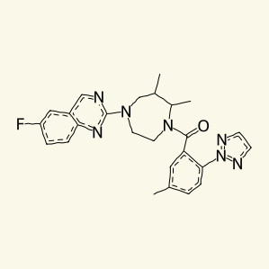 Cc1ccc(-n2nccn2)c(C(=O)N2CCN(c3ncc4cc(F)ccc4n3)CC(C)C2C)c1